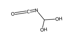 O=C=NC(O)O